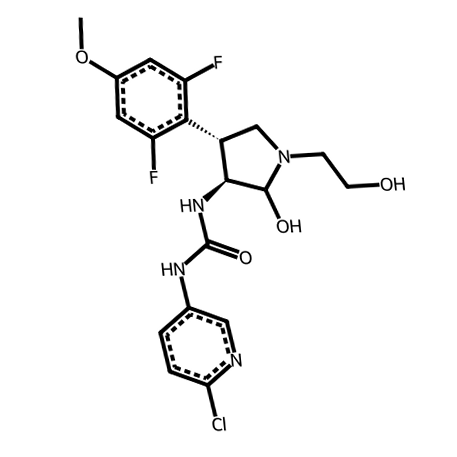 COc1cc(F)c([C@@H]2CN(CCO)C(O)[C@H]2NC(=O)Nc2ccc(Cl)nc2)c(F)c1